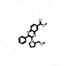 COCC1CCCN1c1nc2cc(C(=O)OC)ccc2nc1-c1ccccc1